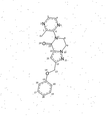 Cc1nccnc1N1CCn2nc(COc3ccccc3)cc2C1=O